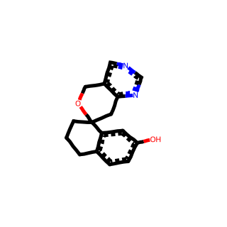 Oc1ccc2c(c1)C1(CCC2)Cc2ncncc2CO1